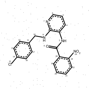 O=C(Nc1cccnc1NCc1ccc(Cl)cc1)c1ccccc1[N+](=O)[O-]